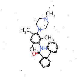 Cc1cc(C)c(N2CCN(C)CC2)c(C)c1NC(=O)c1ccccc1-c1ccccc1